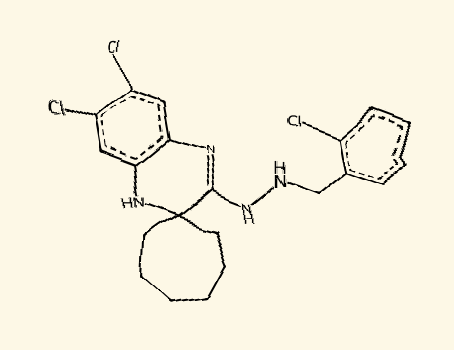 Clc1cc2c(cc1Cl)NC1(CCCCCC1)C(NNCc1ccccc1Cl)=N2